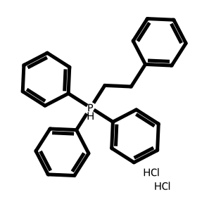 Cl.Cl.c1ccc(CC[PH](c2ccccc2)(c2ccccc2)c2ccccc2)cc1